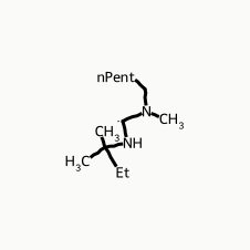 CCCCCCN(C)[CH]NC(C)(C)CC